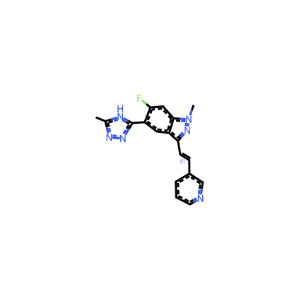 Cc1nnc(-c2cc3c(/C=C/c4cccnc4)nn(C)c3cc2F)[nH]1